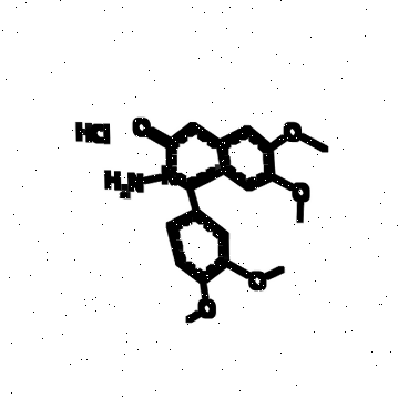 COc1ccc(-c2c3cc(OC)c(OC)cc3cc(=O)n2N)cc1OC.Cl